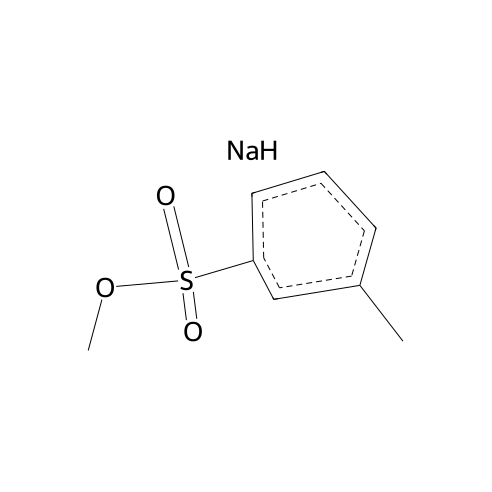 COS(=O)(=O)c1cccc(C)c1.[NaH]